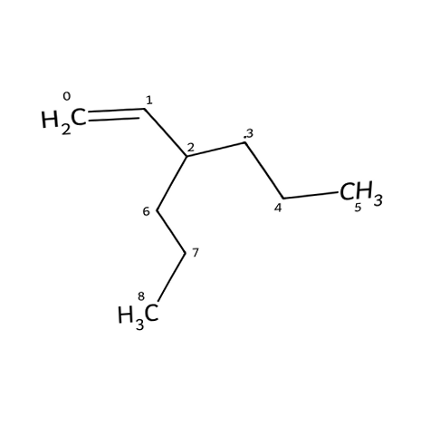 C=CC([CH]CC)CCC